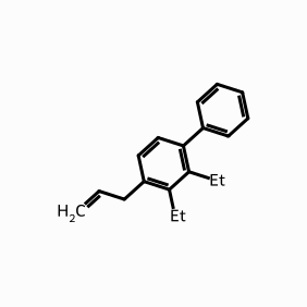 C=CCc1ccc(-c2ccccc2)c(CC)c1CC